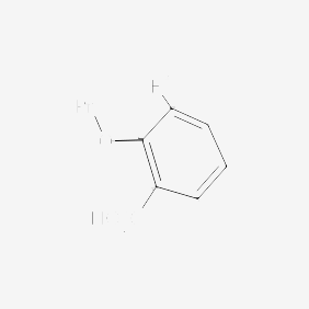 CC(C)Oc1c(F)cccc1C(=O)O